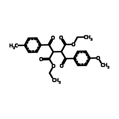 CCOC(=O)C(C(=O)c1ccc(C)cc1)C(C(=O)OCC)C(=O)c1ccc(OC)cc1